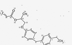 [CH2]Cc1ccc(Cc2ccc(OCC(C)OC(=O)C=C)cc2)cc1